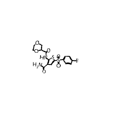 NC(=O)c1cc(S(=O)(=O)c2ccc(F)cc2)sc1NC(=O)C1COCCO1